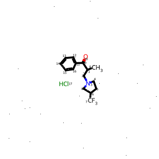 CC(CN1CCC(C(F)(F)F)C1)C(=O)c1ccccc1.Cl